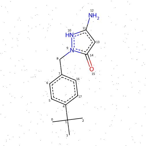 CC(C)(C)c1ccc(Cn2[nH]c(N)cc2=O)cc1